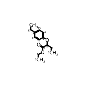 CCOC(=O)C(CC)Oc1ccc(CC)cc1